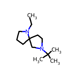 CCN1CCCC12CCN(C(C)(C)C)C2